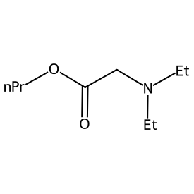 CCCOC(=O)CN(CC)CC